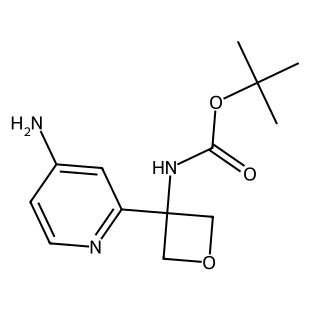 CC(C)(C)OC(=O)NC1(c2cc(N)ccn2)COC1